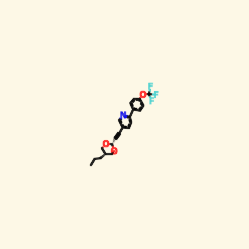 CCC[C@H]1CO[C@H](C#Cc2ccc(-c3ccc(OC(F)(F)F)cc3)nc2)OC1